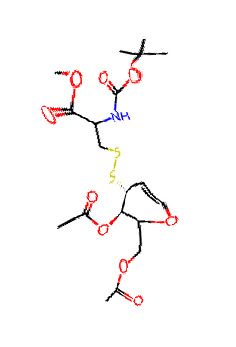 COC(=O)C(CSS[C@@H]1C=COC(COC(C)=O)[C@H]1OC(C)=O)NC(=O)OC(C)(C)C